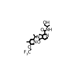 Cc1cc(C(C)N2Cc3c(ccnc3C(=O)NC(C)CO)C2=O)ncc1OCC(F)(F)F